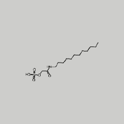 CCCCCCCCCCCCNC(=O)COS(=O)(=O)O